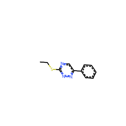 CCSc1ncc(-c2ccccc2)nn1